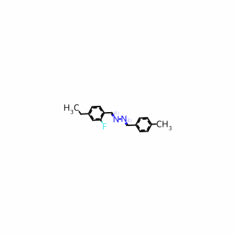 CCc1ccc(/C=N/N=C/c2ccc(C)cc2)c(F)c1